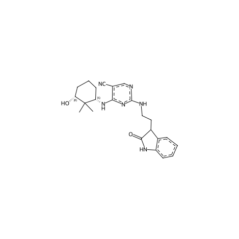 CC1(C)[C@H](O)CCC[C@@H]1Nc1nc(NCCC2C(=O)Nc3ccccc32)ncc1C#N